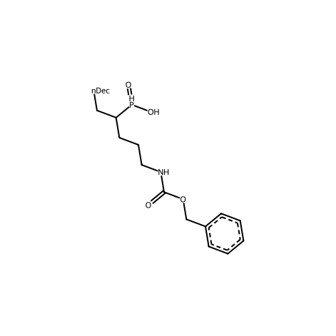 CCCCCCCCCCCC(CCCNC(=O)OCc1ccccc1)[PH](=O)O